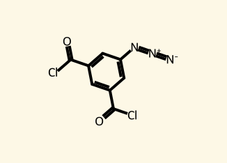 [N-]=[N+]=Nc1cc(C(=O)Cl)cc(C(=O)Cl)c1